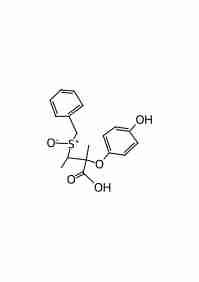 CC([S+]([O-])Cc1ccccc1)C(C)(Oc1ccc(O)cc1)C(=O)O